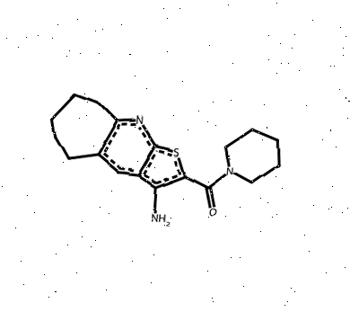 Nc1c(C(=O)N2CCCCC2)sc2nc3c(cc12)CCCCC3